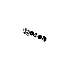 CCNC(=O)N(C=N)c1ccc(N2CCN(c3ccc(B4OC(C)(C)C(C)(C)O4)cc3)CC2)cc1